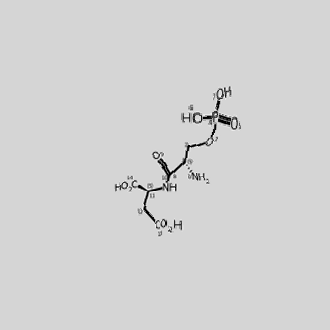 N[C@@H](COP(=O)(O)O)C(=O)N[C@@H](CC(=O)O)C(=O)O